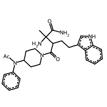 CC(=O)N(c1ccccc1)C1CCN(C(=O)C(CCc2c[nH]c3ccccc23)C(C)(N)C(N)=O)CC1